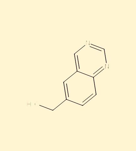 CCc1ccc2ncncc2c1